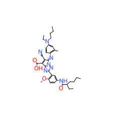 CCCCC(CC)C(=O)Nc1ccc(OC)c(-c2nc3n(n2)/C(=N/c2ccc(N(CC)CCCC)cc2C)C(C#N)=C3C(=O)O)c1